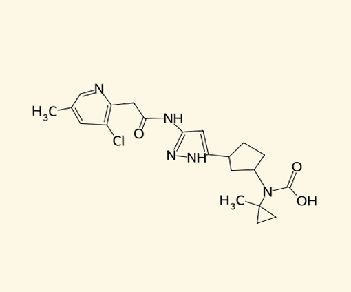 Cc1cnc(CC(=O)Nc2cc(C3CCC(N(C(=O)O)C4(C)CC4)C3)[nH]n2)c(Cl)c1